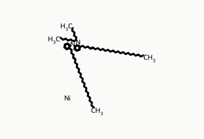 CCCCCCCCCCCCCCCCCCCCCC=CCCCc1ccccc1N=C(CCCCCC)C(CCCCCC)=Nc1ccccc1CCCC=CCCCCCCCCCCCCCCCCCCCCC.[Ni]